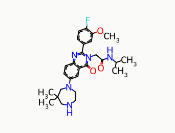 COc1cc(-c2nc3ccc(N4CCNCC(C)(C)C4)cc3c(=O)n2CC(=O)NC(C)C)ccc1F